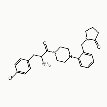 NC(Cc1ccc(Cl)cc1)C(=O)N1CCN(c2ccccc2CN2CCCC2=O)CC1